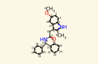 COc1ccc2[nH]c(C)c(CC(=O)NC(c3ccccc3)c3ccccc3)c2c1